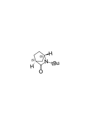 CC(C)(C)N1C(=O)[C@H]2CC[C@H]1C2